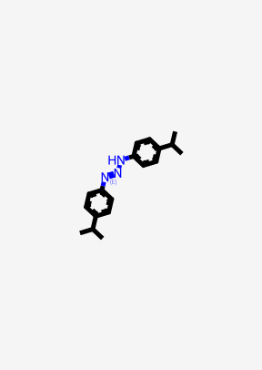 CC(C)c1ccc(/N=N/Nc2ccc(C(C)C)cc2)cc1